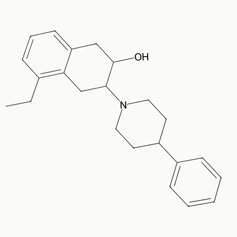 CCc1cccc2c1CC(N1CCC(c3ccccc3)CC1)C(O)C2